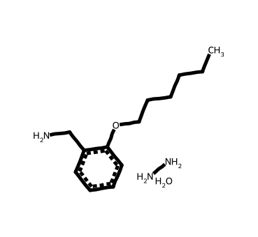 CCCCCCOc1ccccc1CN.NN.O